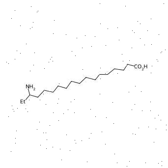 CCC(N)CCCCCCCCCCCCCCC(=O)O